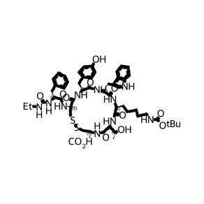 CCNC(=O)N[C@H](Cc1ccccc1)C(=O)N[C@H]1CSSC[C@@H](C(=O)O)NC(=O)[C@H]([C@@H](C)O)NC(=O)[C@H](CCCCCNC(=O)OC(C)(C)C)NC(=O)[C@@H](Cc2c[nH]c3ccccc23)NC(=O)[C@H](Cc2ccc(O)cc2)NC1=O